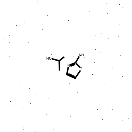 CC(C)O.Nc1nccs1